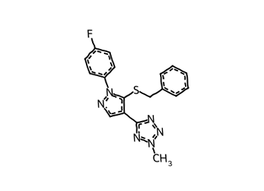 Cn1nnc(-c2cnn(-c3ccc(F)cc3)c2SCc2ccccc2)n1